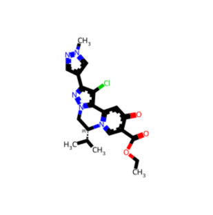 CCOC(=O)c1cn2c(cc1=O)-c1c(Cl)c(-c3cnn(C)c3)nn1C[C@H]2C(C)C